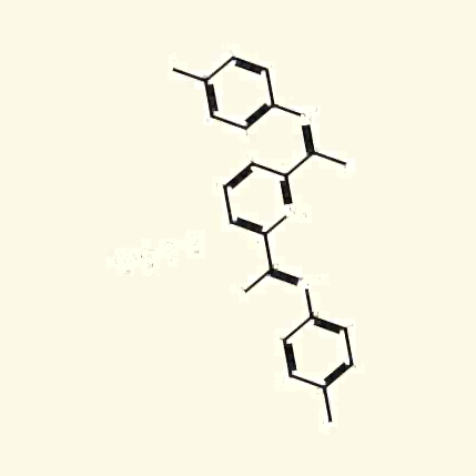 CC(=Nc1ccc(C)cc1)c1cccc(C(C)=Nc2ccc(C)cc2)n1.[Cl-].[Cl-].[Cl-].[Co+3]